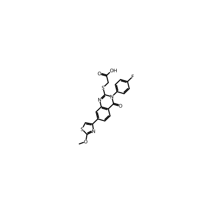 COc1nc(-c2ccc3c(=O)n(-c4ccc(F)cc4)c(SCC(=O)O)nc3c2)cs1